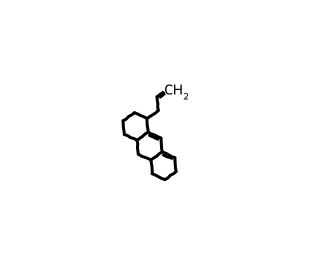 C=CCC1CCCC2CC3CCCC=C3C=C12